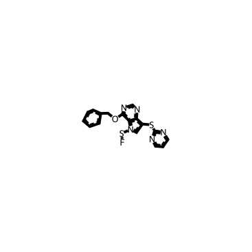 FSn1cc(Sc2ncccn2)c2ncnc(OCc3ccccc3)c21